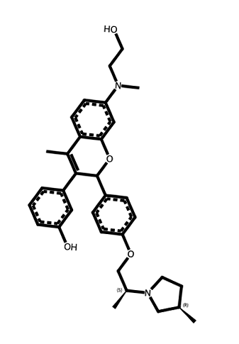 CC1=C(c2cccc(O)c2)C(c2ccc(OC[C@H](C)N3CC[C@@H](C)C3)cc2)Oc2cc(N(C)CCO)ccc21